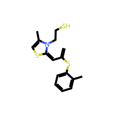 C=C(/C=C1/SC=C(C)N1CCS)Sc1ccccc1C